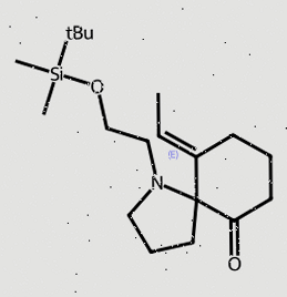 C/C=C1\CCCC(=O)C12CCCN2CCO[Si](C)(C)C(C)(C)C